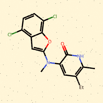 CCc1cc(N(C)c2cc3c(Cl)ccc(Cl)c3o2)c(=O)[nH]c1C